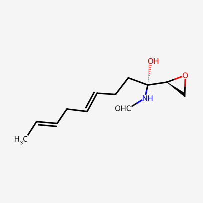 C/C=C/C/C=C/CC[C@](O)(NC=O)[C@@H]1CO1